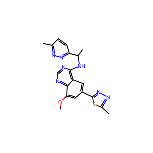 COc1cc(-c2nnc(C)s2)cc2c(NC(C)c3ccc(C)nn3)ncnc12